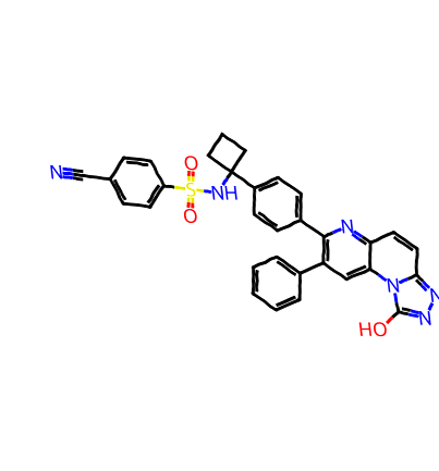 N#Cc1ccc(S(=O)(=O)NC2(c3ccc(-c4nc5ccc6nnc(O)n6c5cc4-c4ccccc4)cc3)CCC2)cc1